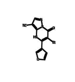 CCc1c(-c2ccoc2)[nH]c2c(C#N)cnn2c1=O